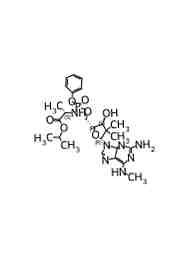 CNc1nc(N)nc2c1ncn2[C@@H]1O[C@H](COP(=O)(N[C@@H](C)C(=O)OC(C)C)Oc2ccccc2)[C@@H](O)C1(C)C